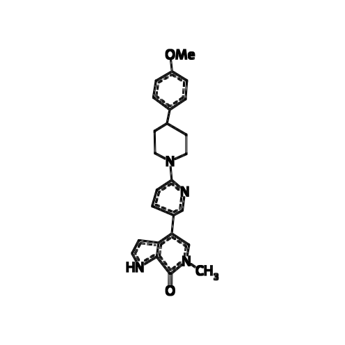 COc1ccc(C2CCN(c3ccc(-c4cn(C)c(=O)c5[nH]ccc45)cn3)CC2)cc1